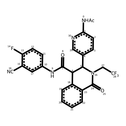 CC(=O)Nc1ccc(C2C(C(=O)Nc3ccc(F)c(C#N)c3)c3ccccc3C(=O)N2CC(F)(F)F)cn1